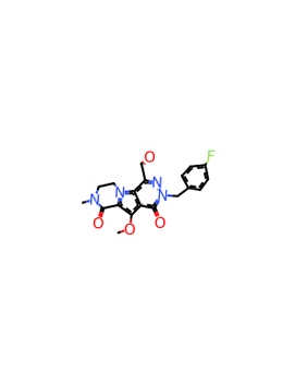 COc1c2n(c3c(C=O)nn(Cc4ccc(F)cc4)c(=O)c13)CCN(C)C2=O